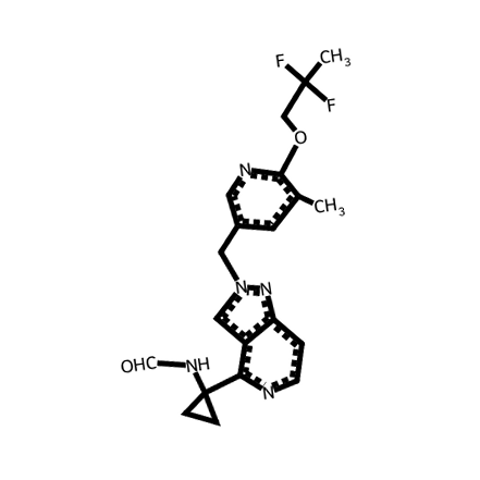 Cc1cc(Cn2cc3c(C4(NC=O)CC4)nccc3n2)cnc1OCC(C)(F)F